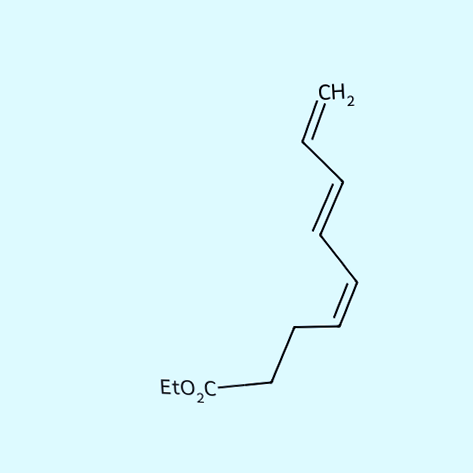 C=C/C=C/C=C\CCC(=O)OCC